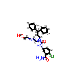 NC(=O)c1cc(NC(=O)N(CCNCCO)CCC(c2ccccc2)c2ccccc2)ccc1Cl